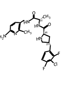 Cc1nc(N)ccc1CNC(=O)[C@H](C)NC(=O)[C@H]1C[C@H](Cc2ccc(F)c(Cl)c2F)CN1